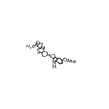 COc1ccc2[nH]c3c(c2c1)CCN(C1CCC2SC(N(C)C)=NC2C1)C3